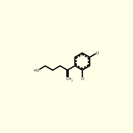 C=C(CCCO)c1ccc(Cl)cc1Cl